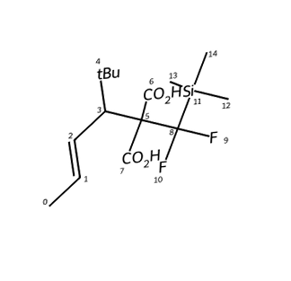 CC=CC(C(C)(C)C)C(C(=O)O)(C(=O)O)C(F)(F)[Si](C)(C)C